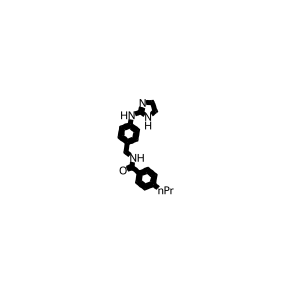 CCCc1ccc(C(=O)NCc2ccc(NC3=NCCN3)cc2)cc1